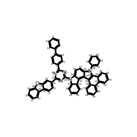 c1ccc(-c2ccc(-c3nc(-c4ccc5c(c4)oc4ccccc45)nc(-n4c5ccccc5c5c6c7c8ccccc8c8ccccc8c7n(-c7ccccc7)c6ccc54)n3)cc2)cc1